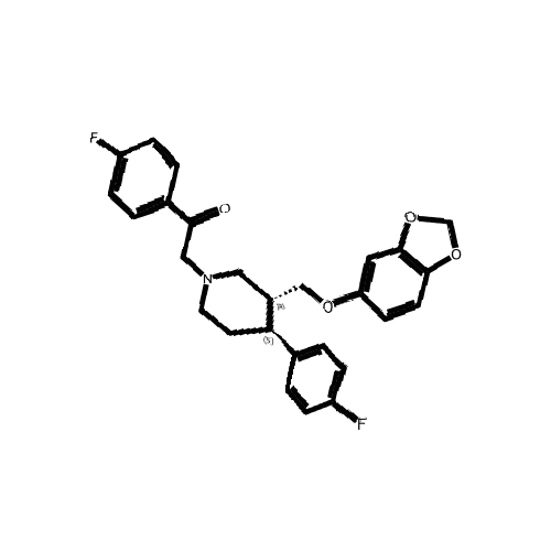 O=C(CN1CC[C@H](c2ccc(F)cc2)[C@@H](COc2ccc3c(c2)OCO3)C1)c1ccc(F)cc1